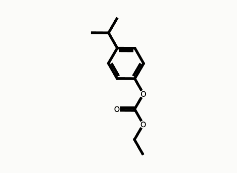 CCOC(=O)Oc1ccc(C(C)C)cc1